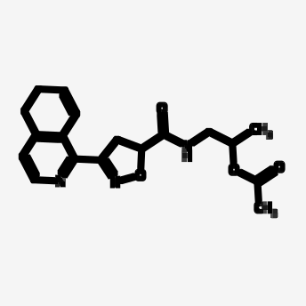 CC(=O)OC(C)CNC(=O)C1CC(c2nccc3c2C=CCC3)=NO1